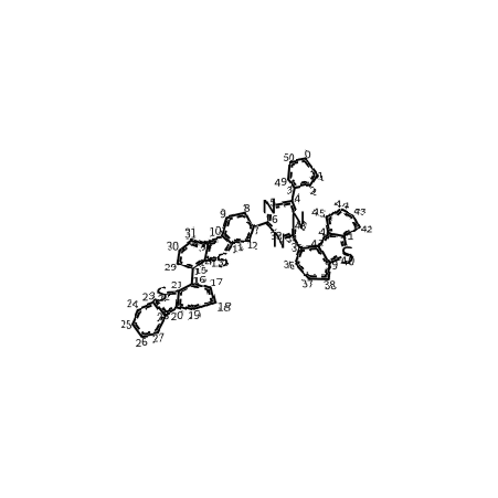 c1ccc(-c2nc(-c3ccc4c(c3)sc3c(-c5cccc6c5sc5ccccc56)cccc34)nc(-c3cccc4sc5ccccc5c34)n2)cc1